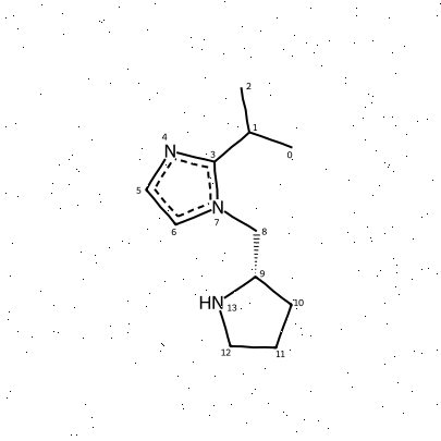 CC(C)c1nccn1C[C@@H]1CCCN1